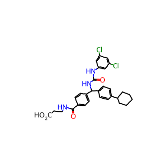 O=C(O)CCNC(=O)c1ccc(C(NC(=O)Nc2cc(Cl)cc(Cl)c2)c2ccc(C3CCCCC3)cc2)cc1